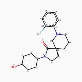 O=C1N(C2CCC(O)CC2)CC[C@@]12CCCN(c1ccccc1F)C2